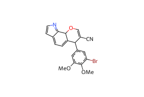 COc1cc(C2C(C#N)=COC3C2=CC=C2C=CN=C23)cc(Br)c1OC